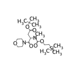 CN(C(=O)OCC[Si](C)(C)C)C(CC(=O)OC(C)(C)C)C(=O)N1CCOCC1